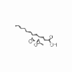 C1CO1.CC1CO1.CCCCCCCCCCCC(=O)O